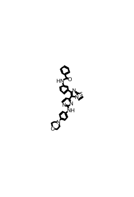 O=C(Nc1cccc(-c2nc3sccn3c2-c2ccnc(Nc3ccc(N4CCOCC4)cc3)n2)c1)c1ccccc1